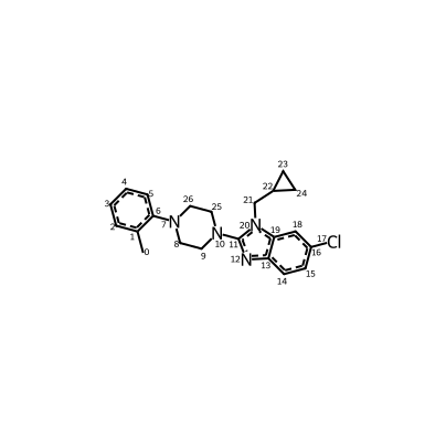 Cc1ccccc1N1CCN(c2nc3ccc(Cl)cc3n2CC2CC2)CC1